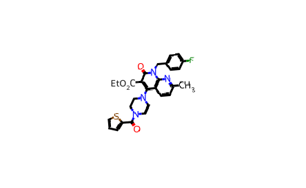 CCOC(=O)c1c(N2CCN(C(=O)c3cccs3)CC2)c2ccc(C)nc2n(Cc2ccc(F)cc2)c1=O